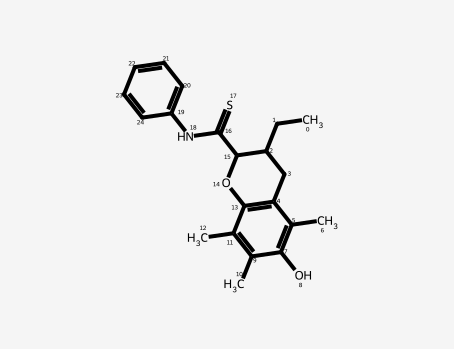 CCC1Cc2c(C)c(O)c(C)c(C)c2OC1C(=S)Nc1ccccc1